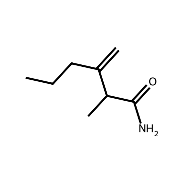 C=C(CCC)C(C)C(N)=O